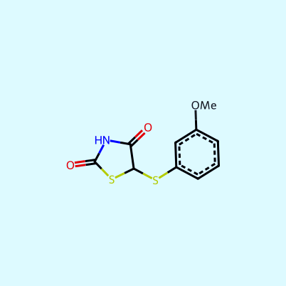 COc1cccc(SC2SC(=O)NC2=O)c1